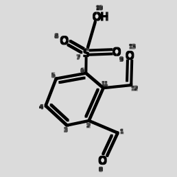 O=Cc1cccc(S(=O)(=O)O)c1C=O